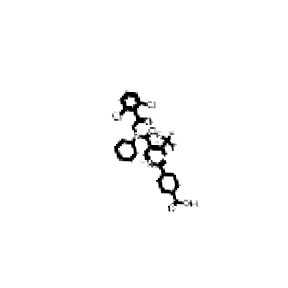 C=C(/N=C\C(C(=O)N(CC(=O)c1c(Cl)cccc1Cl)C1CCCCC1)=C(/C)C(F)(F)F)C1CCC(C(=O)O)CC1